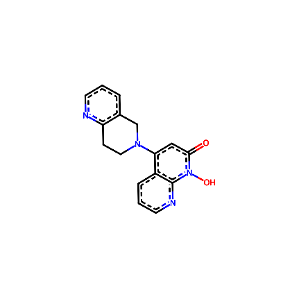 O=c1cc(N2CCc3ncccc3C2)c2cccnc2n1O